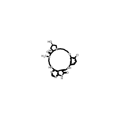 CN1CCNc2ncnc3c2/C(=C/Nc2ccc(Cl)c(c2)OCCCN2C[C@H](O)C[C@@H]2C1=O)C(=O)N3